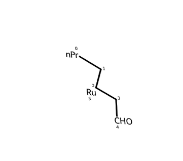 CCCCCCC=O.[Ru]